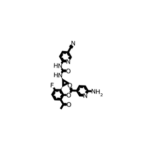 CC(=O)c1ccc(F)c([C@H]2C[C@H]2NC(=O)Nc2ccc(C#N)cn2)c1OC(=O)c1ccc(N)nc1